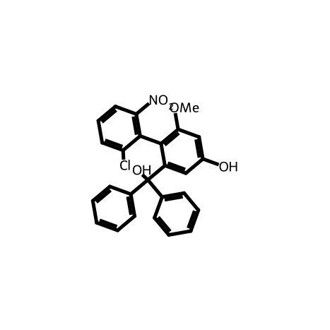 COc1cc(O)cc(C(O)(c2ccccc2)c2ccccc2)c1-c1c(Cl)cccc1[N+](=O)[O-]